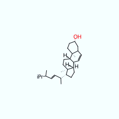 CC(C)C(C)C=CC(C)[C@H]1CC[C@H]2[C@@H]3C=CC4C[C@@H](O)CC[C@]4(C)[C@H]3CC[C@]12C